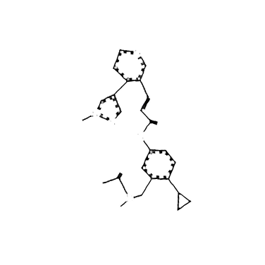 CC(=O)N(C)Cc1cc(NC(=O)/C=C/c2cnccc2-c2cnn(C)c2)ccc1C1CC1